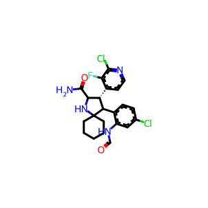 NC(=O)C1NC2(CCCCC2)C(c2ccc(Cl)cc2NC=O)[C@H]1c1ccnc(Cl)c1F